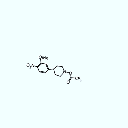 COc1cc(C2CCN(OC(=O)C(F)(F)F)CC2)ccc1[N+](=O)[O-]